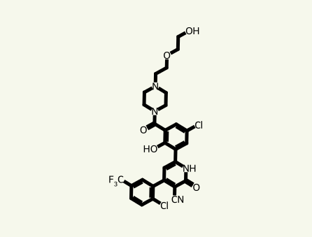 N#Cc1c(-c2cc(C(F)(F)F)ccc2Cl)cc(-c2cc(Cl)cc(C(=O)N3CCN(CCOCCO)CC3)c2O)[nH]c1=O